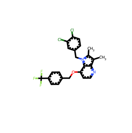 Cc1c(C)n(Cc2ccc(Cl)c(Cl)c2)c2c(OCc3ccc(C(F)(F)F)cc3)ccnc12